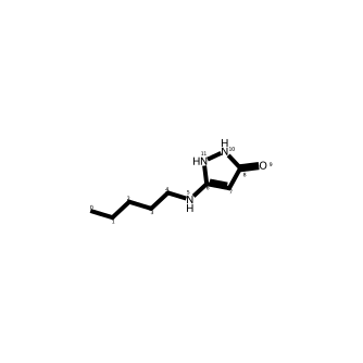 CCCCCNc1cc(=O)[nH][nH]1